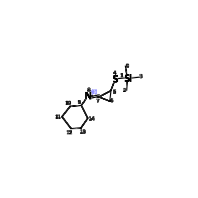 C[Si](C)(C)SC1C/C1=N\C1CCCCC1